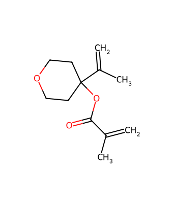 C=C(C)C(=O)OC1(C(=C)C)CCOCC1